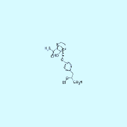 BC(=O)C1N2CCC(CC2)C1(O)COc1ccc(CC(OCC)C(=O)O)cc1